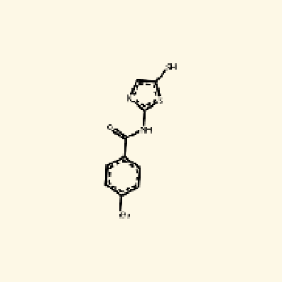 CCC(C)c1ccc(C(=O)Nc2ncc(S)s2)cc1